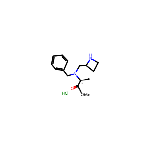 COC(=O)[C@H](C)N(Cc1ccccc1)CC1CCN1.Cl